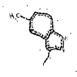 Cc1ccc2[nH]nc(I)c2c1